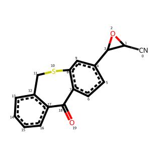 N#CC1OC1c1ccc2c(c1)SCc1ccccc1C2=O